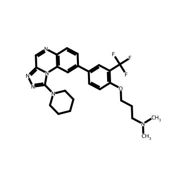 CN(C)CCCOc1ccc(-c2ccc3ncc4nnc(N5CCCCC5)n4c3c2)cc1C(F)(F)F